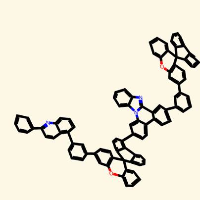 c1ccc(-c2ccc3c(-c4cccc(-c5ccc6c(c5)Oc5ccccc5C65c6ccccc6-c6c(-c7ccc8c9ccc(-c%10cccc(-c%11ccc%12c(c%11)Oc%11ccccc%11C%12%11c%12ccccc%12-c%12ccccc%12%11)c%10)cc9c9nc%10ccccc%10n9c8c7)cccc65)c4)cccc3n2)cc1